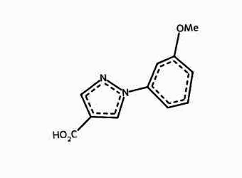 COc1cccc(-n2cc(C(=O)O)cn2)c1